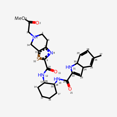 COC(=O)CN1CCc2nc(C(=O)N[C@@H]3CCCC[C@@H]3NC(=O)C3=CC4C=C(C)C=CC4N3)sc2C1